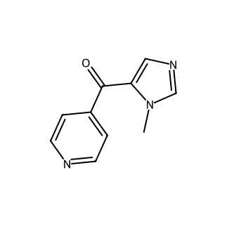 Cn1cncc1C(=O)c1ccncc1